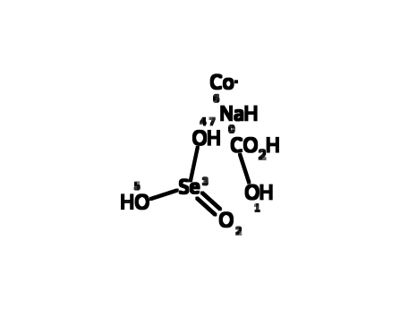 O=C(O)O.O=[Se](O)O.[Co].[NaH]